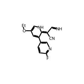 CCOC1=CN/C(=C(/C#N)C=N)C(c2ccc(F)nc2)=C1